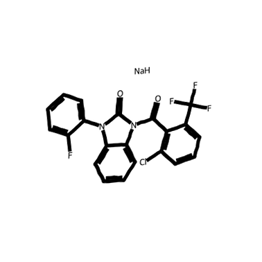 O=C(c1c(Cl)cccc1C(F)(F)F)n1c(=O)n(-c2ccccc2F)c2ccccc21.[NaH]